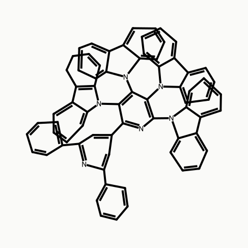 C1=Cc2c(c3ccccc3n2-c2c(-c3cc(-c4ccccc4)nc(-c4ccccc4)c3)nc(-n3c4ccccc4c4ccccc43)c(-n3c4ccccc4c4ccccc43)c2-n2c3ccccc3c3ccccc32)CC1